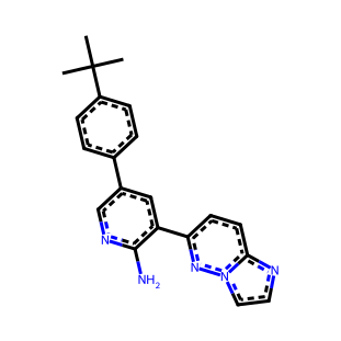 CC(C)(C)c1ccc(-c2cnc(N)c(-c3ccc4nccn4n3)c2)cc1